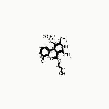 CCOC(=O)OC1=C(C)NC(C)=C(C(=O)OCCO)C1c1cccc(Cl)c1